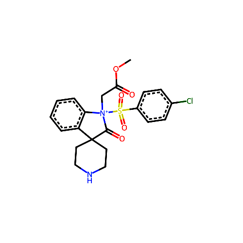 COC(=O)C[N+]1(S(=O)(=O)c2ccc(Cl)cc2)C(=O)C2(CCNCC2)c2ccccc21